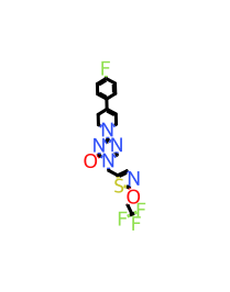 O=c1nc(N2CC=C(c3ccc(F)cc3)CC2)ncn1Cc1cnc(OCC(F)(F)F)s1